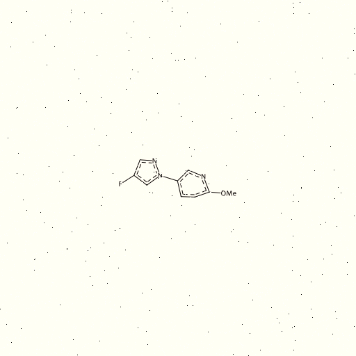 COc1ccc(-n2cc(F)cn2)cn1